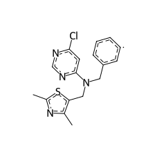 Cc1nc(C)c(CN(Cc2c[c]ccc2)c2cc(Cl)ncn2)s1